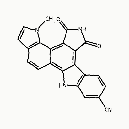 Cn1ccc2ccc3c4[nH]c5cc(C#N)ccc5c4c4c(c3c21)C(=O)NC4=O